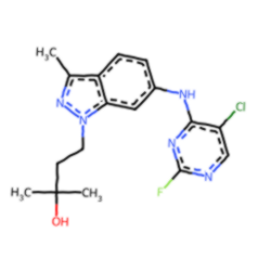 Cc1nn(CCC(C)(C)O)c2cc(Nc3nc(F)ncc3Cl)ccc12